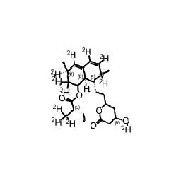 [2H]O[C@H]1CC(=O)OC(CC[C@@H]2[C@@H]3C(=C([2H])[C@]([2H])(C)C([2H])([2H])C3OC(=O)[C@H](CC)C([2H])([2H])[2H])C([2H])=C([2H])[C@]2([2H])C)C1